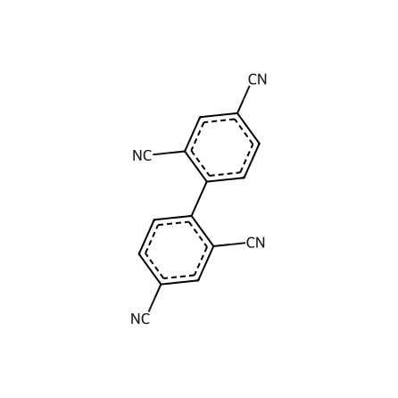 N#Cc1ccc(-c2ccc(C#N)cc2C#N)c(C#N)c1